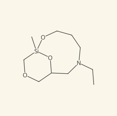 CCN1CCCO[Si]2(C)COCC(C1)O2